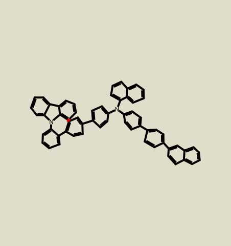 c1ccc(-n2c3ccccc3c3ccccc32)c(-c2ccc(-c3ccc(N(c4ccc(-c5ccc(-c6ccc7ccccc7c6)cc5)cc4)c4cccc5ccccc45)cc3)cc2)c1